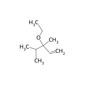 C=CC(C)(OCC)C(C)C